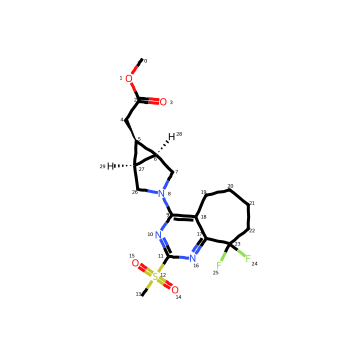 COC(=O)C[C@H]1[C@H]2CN(c3nc(S(C)(=O)=O)nc4c3CCCCC4(F)F)C[C@@H]12